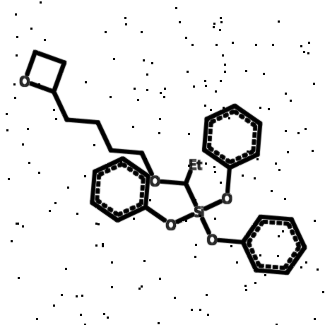 CCC(OCCCCC1CCO1)[Si](Oc1ccccc1)(Oc1ccccc1)Oc1ccccc1